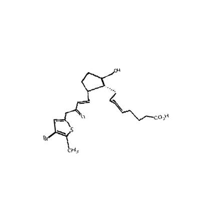 Cc1sc(CC(=O)/C=C/[C@H]2CCC(O)[C@@H]2C/C=C\CCCC(=O)O)cc1Br